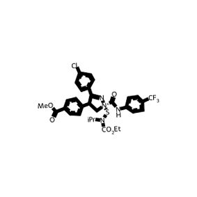 CCOC(=O)N(S[N+]1(C(=O)Nc2ccc(C(F)(F)F)cc2)CC(c2ccc(C(=O)OC)cc2)C(c2ccc(Cl)cc2)=N1)C(C)C